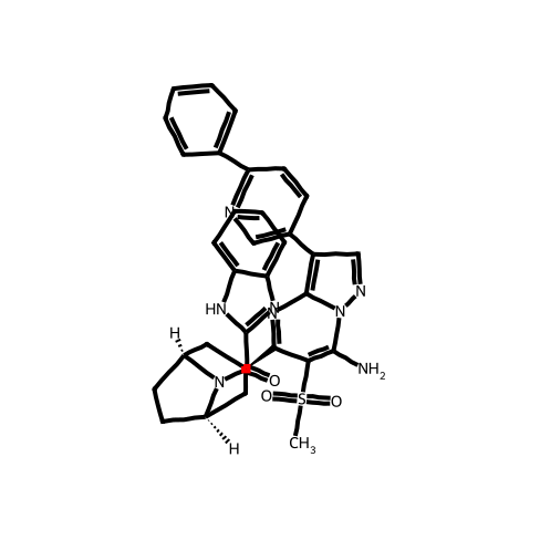 CS(=O)(=O)c1c([C@H]2C[C@H]3CC[C@@H](C2)N3C(=O)c2nc3ccccc3[nH]2)nc2c(-c3ccc(-c4ccccc4)nc3)cnn2c1N